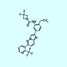 CCc1ccc(-c2cn3nc(-c4cccnc4C(F)(F)F)ccc3n2)cc1NC(=O)N1CC(F)(F)C1